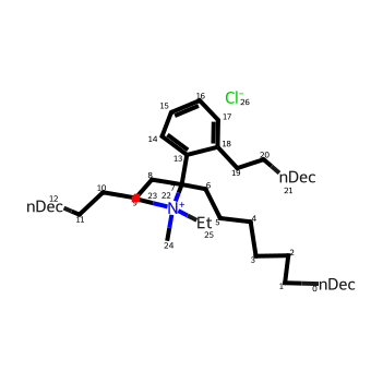 CCCCCCCCCCCCCCCCC(CCCCCCCCCCCCCC)(c1ccccc1CCCCCCCCCCCC)[N+](C)(C)CC.[Cl-]